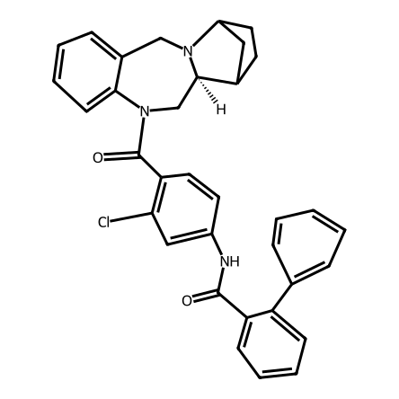 O=C(Nc1ccc(C(=O)N2C[C@@H]3C4CCC(C4)N3Cc3ccccc32)c(Cl)c1)c1ccccc1-c1ccccc1